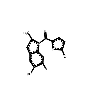 Cc1cc2cc(O)c(F)cc2n1C(=O)c1ccc(Cl)s1